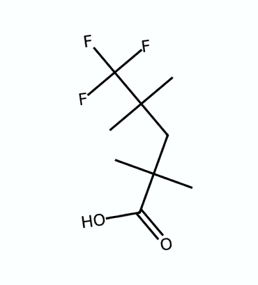 CC(C)(CC(C)(C)C(F)(F)F)C(=O)O